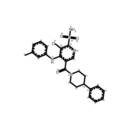 Cc1cccc(Nc2c(C(=O)N3CCC(c4ccccc4)CC3)cnc(S(N)(=O)=O)c2Cl)c1